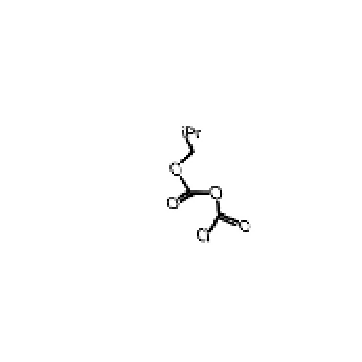 CC(C)COC(=O)OC(=O)Cl